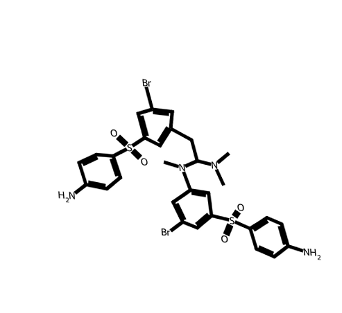 CN(C)C(Cc1cc(Br)cc(S(=O)(=O)c2ccc(N)cc2)c1)N(C)c1cc(Br)cc(S(=O)(=O)c2ccc(N)cc2)c1